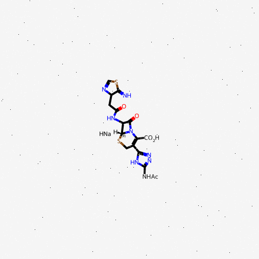 CC(=O)Nc1nnc(C2=C(C(=O)O)N3C(=O)C(NC(=O)CC4N=CSC4=N)[C@H]3SC2)[nH]1.[NaH]